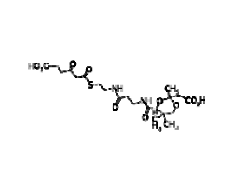 CC1(CC(=O)O)OCC(C)(C)[C@H](C(=O)NCCC(=O)NCCSC(=O)CC(=O)CCC(=O)O)O1